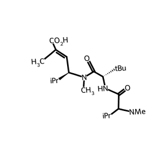 CNC(C(=O)N[C@H](C(=O)N(C)[C@H](/C=C(\C)C(=O)O)C(C)C)C(C)(C)C)C(C)C